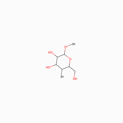 CC(C)OC1OC(CO)C(C(C)C)C(O)C1O